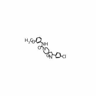 COc1cccc(NC(=O)N2CCC3(CC2)CC(c2ccc(Cl)cc2)=NO3)c1